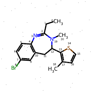 CCC1=Nc2ccc(Br)cc2CC(c2sccc2C)N1C